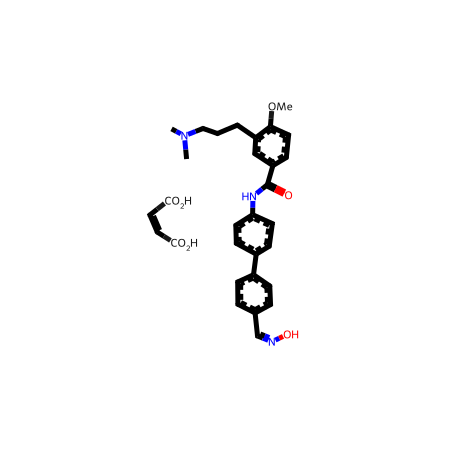 COc1ccc(C(=O)Nc2ccc(-c3ccc(/C=N\O)cc3)cc2)cc1CCCN(C)C.O=C(O)/C=C\C(=O)O